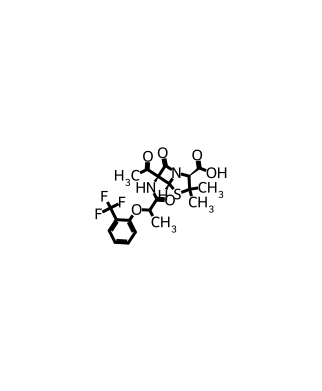 CC(=O)[C@]1(NC(=O)C(C)Oc2ccccc2C(F)(F)F)C(=O)N2[C@@H](C(=O)O)C(C)(C)S[C@@H]21